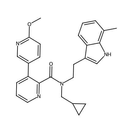 COc1ccc(-c2cccnc2C(=O)N(CCc2c[nH]c3c(C)cccc23)CC2CC2)cn1